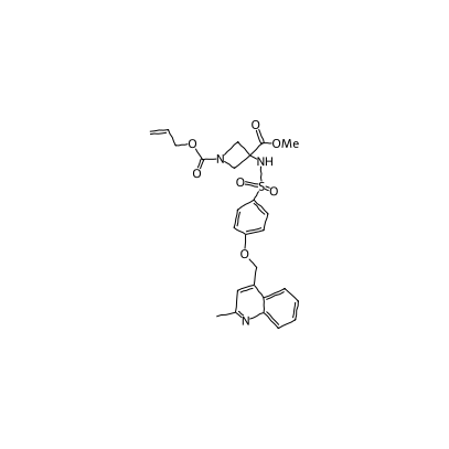 C=CCOC(=O)N1CC(NS(=O)(=O)c2ccc(OCc3cc(C)nc4ccccc34)cc2)(C(=O)OC)C1